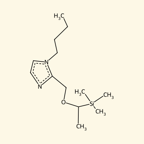 CCCCn1ccnc1COC(C)[Si](C)(C)C